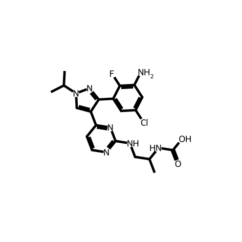 CC(CNc1nccc(-c2cn(C(C)C)nc2-c2cc(Cl)cc(N)c2F)n1)NC(=O)O